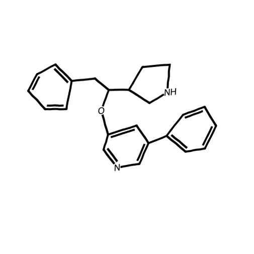 c1ccc(CC(Oc2cncc(-c3ccccc3)c2)C2CCNC2)cc1